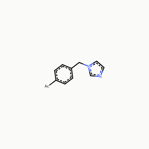 CC(=O)c1ccc(Cn2ccnc2)cc1